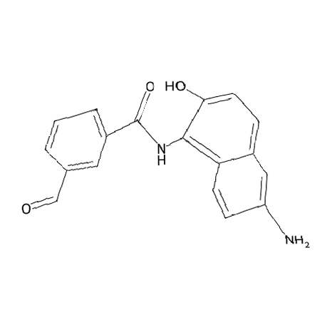 Nc1ccc2c(NC(=O)c3cccc(C=O)c3)c(O)ccc2c1